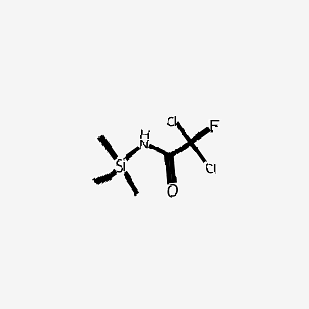 C[Si](C)(C)NC(=O)C(F)(Cl)Cl